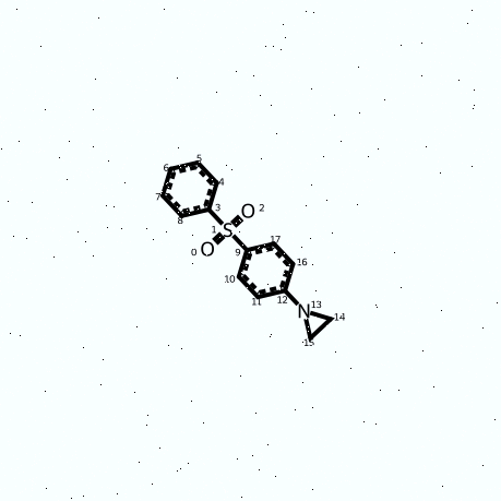 O=S(=O)(c1ccccc1)c1ccc(N2CC2)cc1